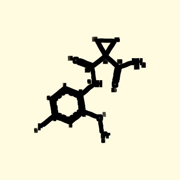 CC(C)Oc1cc(F)ccc1NC(=O)C1(C(N)=O)CC1